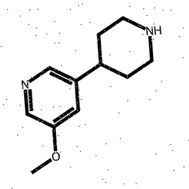 COc1cncc(C2CCNCC2)c1